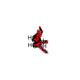 CCCCCC/C=C\CCCCCCCCCC(=O)[C@]1(O)[C@H](OC[C@H]2OC(OP(=O)(O)O)[C@H](OCC[C@H](O)CCCCCCCCCCC)[C@@H](OCCCCCCCCCCCC)[C@@H]2O)O[C@H](COC)[C@@H](OP(=O)(O)O)[C@@H]1OCC[C@@H](CCCCCCC)OC